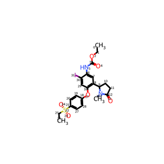 CCOC(=O)Nc1cc(C2CCC(=O)N2C)c(Oc2ccc(S(=O)(=O)CC)cc2)cc1I